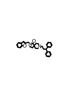 O=C1N(Cc2cc3ccccc3o2)CCC12CCN(CCC(c1ccccc1)c1ccccc1)CC2